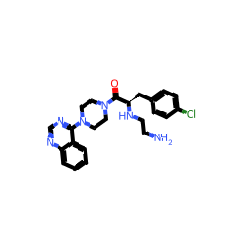 NCCN[C@H](Cc1ccc(Cl)cc1)C(=O)N1CCN(c2ncnc3ccccc23)CC1